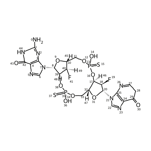 Nc1nc2c(ncn2[C@@H]2O[C@@H]3COP(O)(=S)O[C@H]4[C@@H](F)[C@H](n5cnc6c5N=CCC6=O)O[C@@H]4COP(O)(=S)O[C@@H]2[C@@H]3F)c(=O)[nH]1